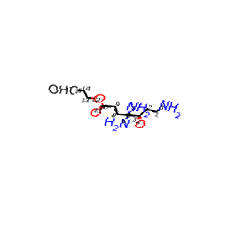 NCCC(=O)C(N)(N)CCC(=O)OCCC=O